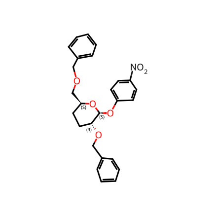 O=[N+]([O-])c1ccc(O[C@@H]2O[C@H](COCc3ccccc3)CC[C@H]2OCc2ccccc2)cc1